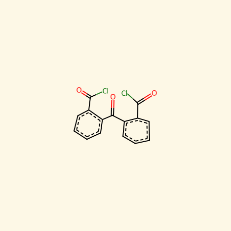 O=C(Cl)c1ccccc1C(=O)c1ccccc1C(=O)Cl